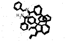 C=C/C=C1\C(=C/C)C(c2ccccc2)(c2ccccc2)c2c1cccc2-c1cccc(-c2cccc(C(/N=C(\N)C3=CCCC=C3)=N/Cc3ccccc3)c2)c1